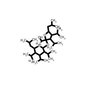 CC(C)CC1OC(OC2(C(C)O)OC(CC(C)C)C(C(C)C)C2C(C)C)C(C(C)C)C(C(C)C)C1C(C)C